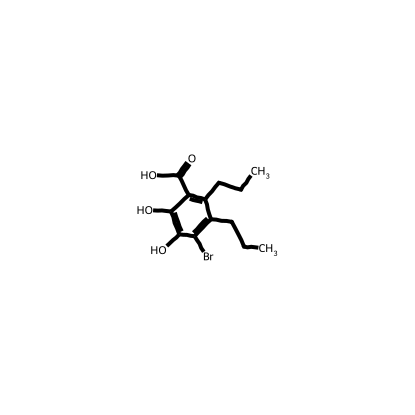 CCCc1c(Br)c(O)c(O)c(C(=O)O)c1CCC